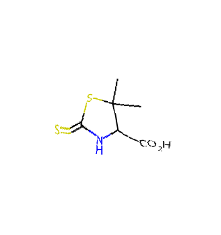 CC1(C)SC(=S)NC1C(=O)O